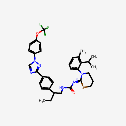 CCC(CNC(=O)/N=C1\SCCCN1c1cccc(C)c1C(C)C)c1ccc(-c2ncn(-c3ccc(OC(F)(F)F)cc3)n2)cc1